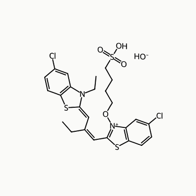 CCC(=Cc1sc2ccc(Cl)cc2[n+]1OCCCCS(=O)(=O)O)C=C1Sc2ccc(Cl)cc2N1CC.[OH-]